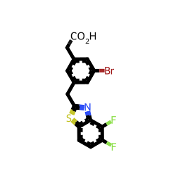 O=C(O)Cc1cc(Br)cc(Cc2nc3c(F)c(F)ccc3s2)c1